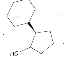 OC1CCC[C@@H]1C1CCCCC1